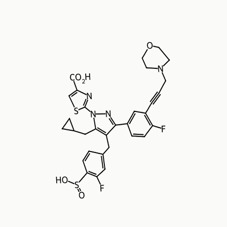 O=C(O)c1csc(-n2nc(-c3ccc(F)c(C#CCN4CCOCC4)c3)c(Cc3ccc(S(=O)O)c(F)c3)c2CC2CC2)n1